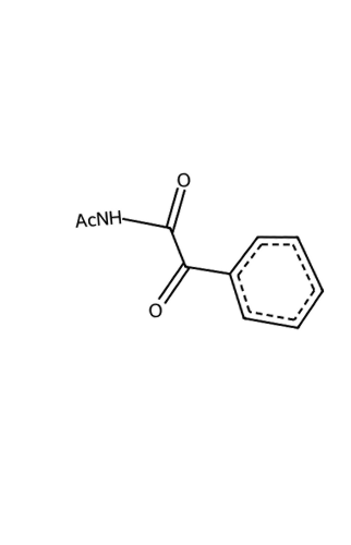 CC(=O)NC(=O)C(=O)c1ccccc1